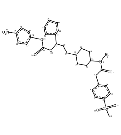 CCN(C(=O)Cc1ccc(S(C)(=O)=O)cc1)C1CCN(CCC(OC(=O)Oc2ccc([N+](=O)[O-])cc2)c2ccccc2)CC1